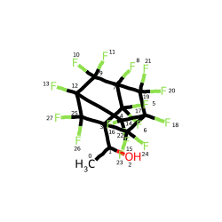 CC(O)C12C(F)(F)C3(F)C(F)(F)C(F)(C(F)(F)C(F)(C3(F)F)C1(F)F)C2(F)F